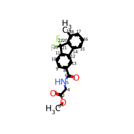 COC(=O)CNC(=O)c1ccc2c(c1)-c1cccc(C)c1C2(F)F